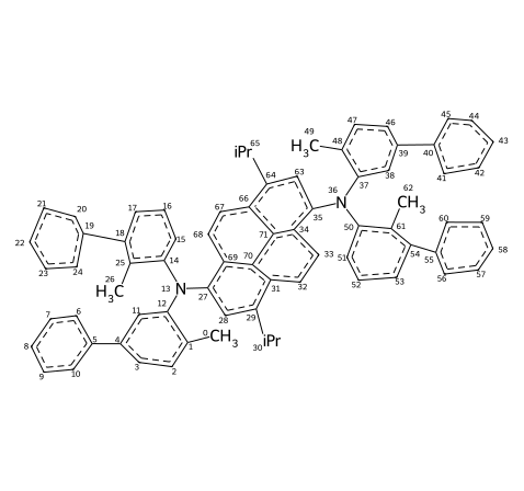 Cc1ccc(-c2ccccc2)cc1N(c1cccc(-c2ccccc2)c1C)c1cc(C(C)C)c2ccc3c(N(c4cc(-c5ccccc5)ccc4C)c4cccc(-c5ccccc5)c4C)cc(C(C)C)c4ccc1c2c43